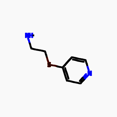 [NH]CCSc1ccncc1